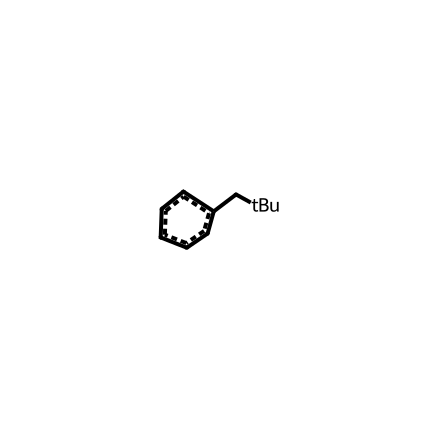 [CH2]C(C)(C)Cc1ccccc1